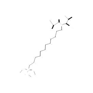 C=C(C)C(=O)N(CCCCCCCCCCCC[Si](OC)(OC)OC)C(=O)C(=C)C